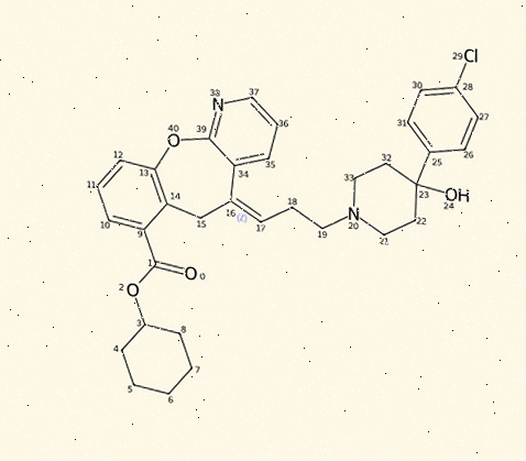 O=C(OC1CCCCC1)c1cccc2c1C/C(=C/CCN1CCC(O)(c3ccc(Cl)cc3)CC1)c1cccnc1O2